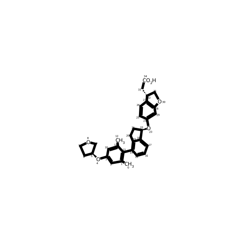 Cc1cc(O[C@H]2CCOC2)cc(C)c1-c1cccc2c1CC[C@H]2Oc1ccc2c(c1)OC[C@H]2CC(=O)O